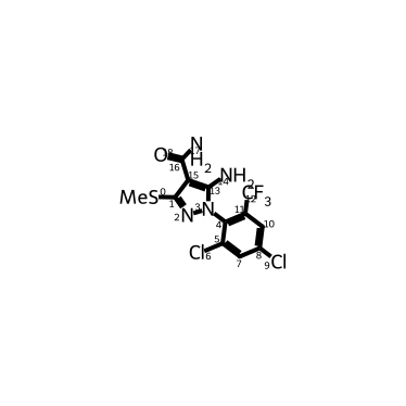 CSc1nn(-c2c(Cl)cc(Cl)cc2C(F)(F)F)c(N)c1C(N)=O